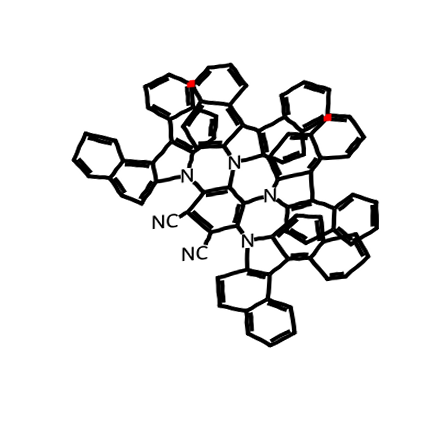 N#Cc1c(C#N)c(-n2c3ccc4ccccc4c3c3c4ccccc4ccc32)c(-n2c3ccc4ccccc4c3c3c4ccccc4ccc32)c(-n2c3ccc4ccccc4c3c3c4ccccc4ccc32)c1-n1c2ccc3ccccc3c2c2c3ccccc3ccc21